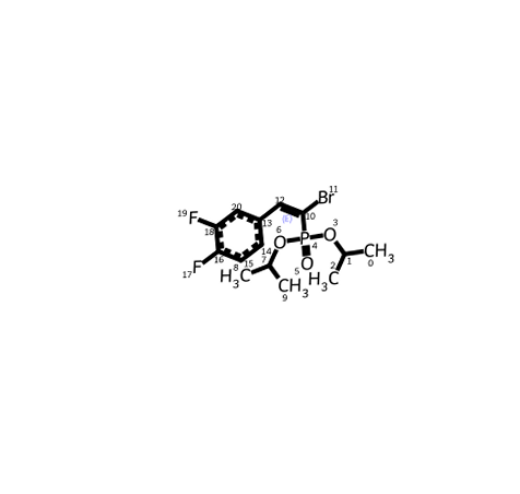 CC(C)OP(=O)(OC(C)C)/C(Br)=C\c1ccc(F)c(F)c1